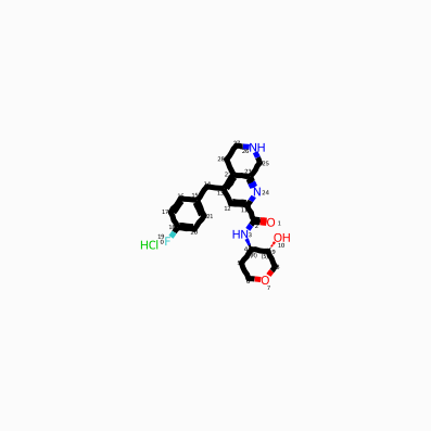 Cl.O=C(N[C@@H]1CCOC[C@H]1O)c1cc(Cc2ccc(F)cc2)c2c(n1)CNCC2